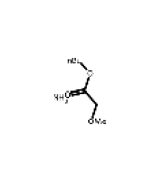 CCCCOC(=O)COC.N